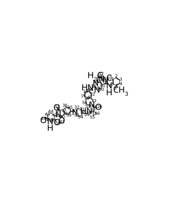 Cc1cccc(C)c1Nc1nn(C)c2nc(Nc3ccc4c(c3)CN(C(=O)C3(NCC5CCN(c6ccc7c(c6)C(=O)N(C6CCC(=O)NC6=O)C7=O)CC5)CC3)CC4)ncc12